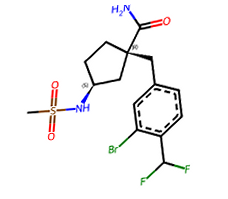 CS(=O)(=O)N[C@H]1CC[C@](Cc2ccc(C(F)F)c(Br)c2)(C(N)=O)C1